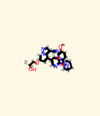 COc1ccc(CN2C3CC2CN(c2ccc(-c4cc(OC[C@@H](C)O)cn5ncc(C#N)c45)cn2)C3)nc1